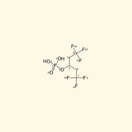 O=P(O)(O)OC(CC(F)(F)F)CC(F)(F)F